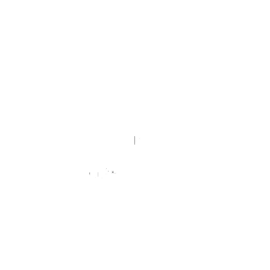 [Cu+2].c1ccc(P(c2ccccc2)c2ccccc2)cc1